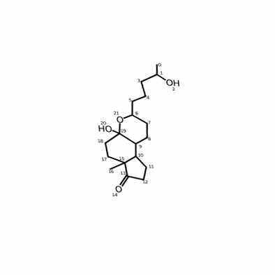 CC(O)CCCC1CCC2C3CCC(=O)C3(C)CCC2(O)O1